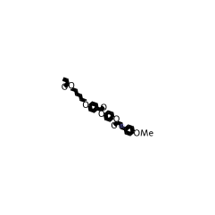 C=CC(=O)OCCCCCCOc1ccc(C(=O)OC2=CC=C(OC(=O)/C=C/c3ccc(OC)cc3)CC2)cc1